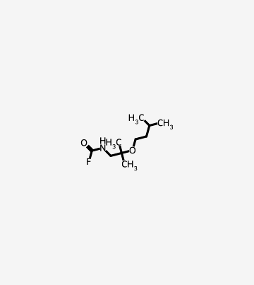 CC(C)CCOC(C)(C)CNC(=O)F